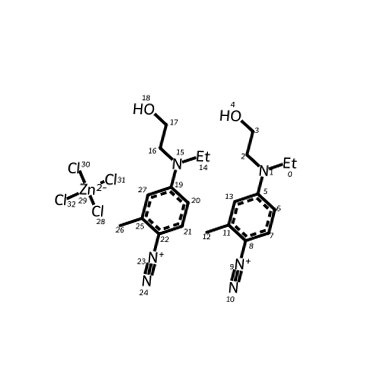 CCN(CCO)c1ccc([N+]#N)c(C)c1.CCN(CCO)c1ccc([N+]#N)c(C)c1.[Cl][Zn-2]([Cl])([Cl])[Cl]